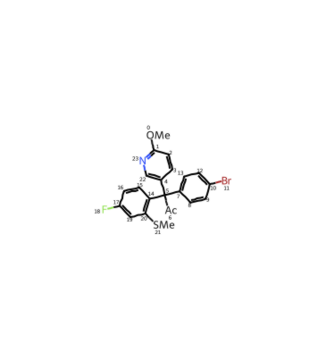 COc1ccc(C(C(C)=O)(c2ccc(Br)cc2)c2ccc(F)cc2SC)cn1